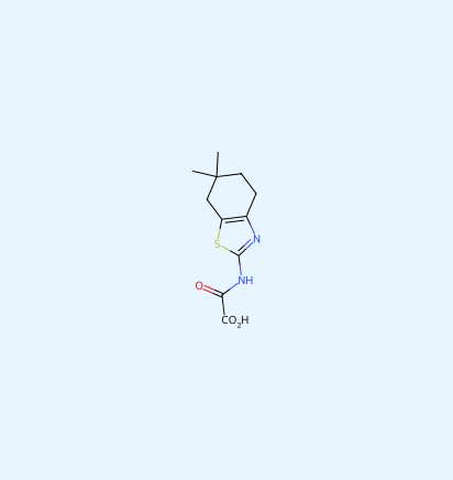 CC1(C)CCc2nc(NC(=O)C(=O)O)sc2C1